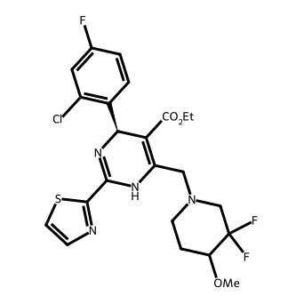 CCOC(=O)C1=C(CN2CCC(OC)C(F)(F)C2)NC(c2nccs2)=N[C@H]1c1ccc(F)cc1Cl